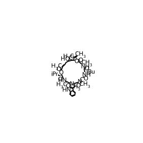 C/C=C(\C)[C@H]1OC(=O)[C@@H](C)NC(=O)[C@H](C(C)CC)NC(=O)CN(C)C(=O)[C@@H](Cc2c[nH]c3ccccc23)N(C)C(=O)[C@H](C)NC(=O)[C@@H](CC(C)C)OC(=O)/C(C)=C/C[C@H](O)[C@@H]1C